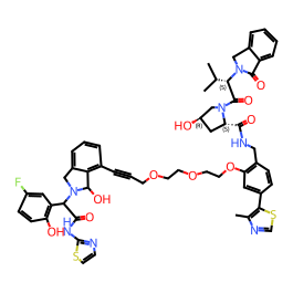 Cc1ncsc1-c1ccc(CNC(=O)[C@@H]2C[C@@H](O)CN2C(=O)[C@H](C(C)C)N2Cc3ccccc3C2=O)c(OCCOCCOCC#Cc2cccc3c2C(O)N(C(C(=O)Nc2nccs2)c2cc(F)ccc2O)C3)c1